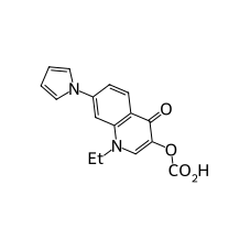 CCn1cc(OC(=O)O)c(=O)c2ccc(-n3cccc3)cc21